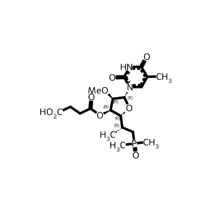 CO[C@@H]1[C@H](OC(=O)CCC(=O)O)[C@@H]([C@@H](C)CP(C)(C)=O)O[C@H]1n1cc(C)c(=O)[nH]c1=O